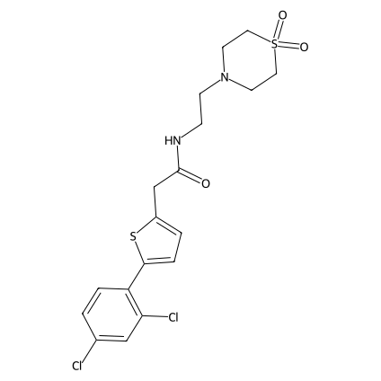 O=C(Cc1ccc(-c2ccc(Cl)cc2Cl)s1)NCCN1CCS(=O)(=O)CC1